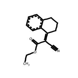 CCOC(=O)C(C#N)=C1CCCc2ccccc21